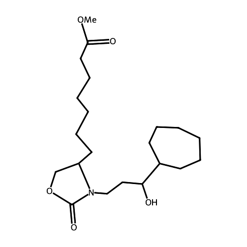 COC(=O)CCCCCCC1COC(=O)N1CCC(O)C1CCCCCC1